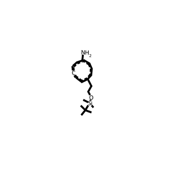 CC(C)(C)[Si](C)(C)OCCc1cccccc(N)ccc1